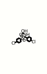 O=C(O)NC(c1ccc(Cl)cc1)S(=O)(=O)c1ccc(Cl)cc1